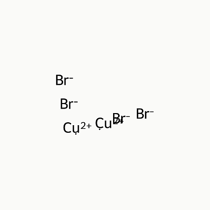 [Br-].[Br-].[Br-].[Br-].[Cu+2].[Cu+2]